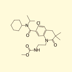 COC(=O)NCCN1C(=O)C(C)(C)Cc2cc(Cl)c(C(=O)N(C(C)C)C3CCCCC3)cc21